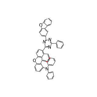 c1ccc(-c2nc(-c3ccc4oc5ccccc5c4c3)nc(-c3ccc4c5c(cccc35)-c3c(cccc3N(c3ccccc3)c3ccccc3)O4)n2)cc1